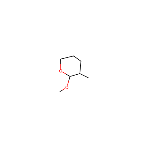 COC1OCCCC1C